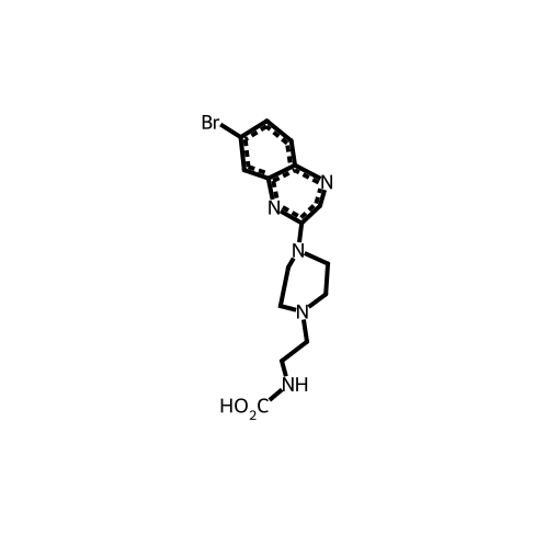 O=C(O)NCCN1CCN(c2cnc3ccc(Br)cc3n2)CC1